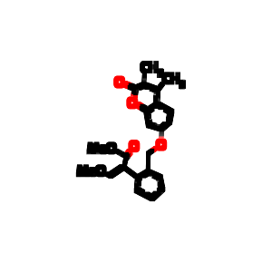 COC=C(C(=O)OC)c1ccccc1COc1ccc2c(C)c(C)c(=O)oc2c1